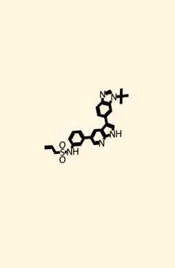 C=CCS(=O)(=O)Nc1cccc(-c2cnc3[nH]cc(-c4ccc5ncn(C(C)(C)C)c5c4)c3c2)c1